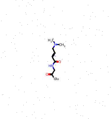 CN(C)C/C=C/C(=O)NCC(=O)C(C)(C)C